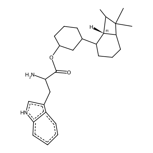 CC1[C@H]2C(C3CCCC(OC(=O)C(N)Cc4c[nH]c5ccccc45)C3)CCCC2C1(C)C